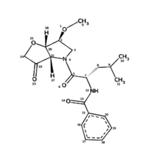 CO[C@H]1CN(C(=O)[C@H](CC(C)C)NC(=O)c2ccccc2)[C@@H]2C(=O)CO[C@H]12